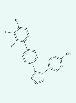 Oc1ccc(-c2cccn2-c2ccc(-c3ccc(F)c(F)c3F)cc2)cc1